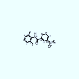 Cc1cccc(C)c1NC(=O)C1=CC([N+]([O-])=S)=CC[CH]1